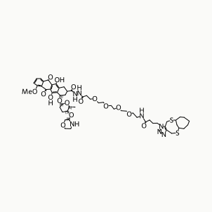 COc1cccc2c1C(=O)c1c(O)c3c(c(O)c1C2=O)CC(C(=O)NNC(=O)CCOCCOCCOCCOCCNC(=O)CCCn1nnc2c1CSC1CCCCCC(C1)SC2)C[C@@H]3O[C@H]1CC[C@H](O[C@@H]2COCCN2)[C@H](C)O1